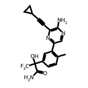 Cc1ccc(C(O)(C(N)=O)C(F)(F)F)cc1-c1cnc(N)c(C#CC2CC2)n1